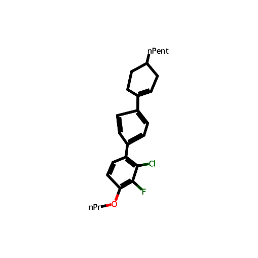 CCCCCC1CC=C(c2ccc(-c3ccc(OCCC)c(F)c3Cl)cc2)CC1